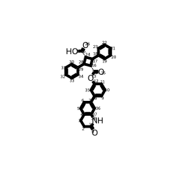 O=C1CCc2ccc(-c3cccc(OC(=O)[C@H]4C(c5ccccc5)[C@@H](C(=O)O)C4c4ccccc4)c3)cc2N1